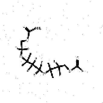 CC(C)(OC(F)(F)C(F)(F)C(C)(C)OC(F)(F)COC(N)=O)C(F)(F)COC(N)=O